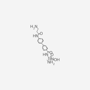 NCCC(=O)Nc1ccc(-c2ccc(C(=O)N[C@@H](CN)C(=O)NO)cc2)cc1